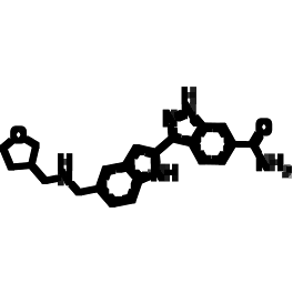 NC(=O)c1ccc2c(-c3cc4cc(CNCC5CCOC5)ccc4[nH]3)n[nH]c2c1